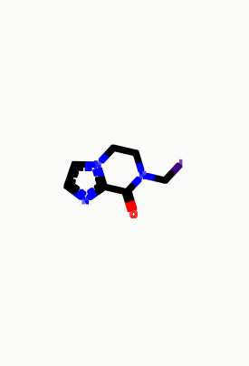 O=C1c2nccn2CCN1CI